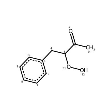 CC(=O)C(Cc1ccccc1)OO